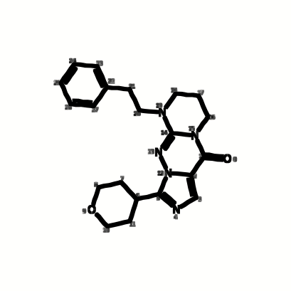 O=c1c2cnc(C3CCOCC3)n2nc2n1CCCN2CCc1ccccc1